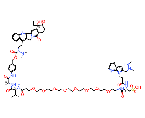 CC[C@@]1(O)C(=O)CCc2c1cc1n(c2=O)Cc2c-1nc1ccccc1c2CCN(C(=O)OCc1ccc(NC(=O)[C@H](C)NC(=O)[C@@H](NC(=O)CCOCCOCCOCCOCCOCCOCCOCCOCCNC(=O)[C@H](CS(=O)(=O)O)NC(=O)CCn2c(CN(C)NC)cc3cccnc32)C(C)C)cc1)N(C)C